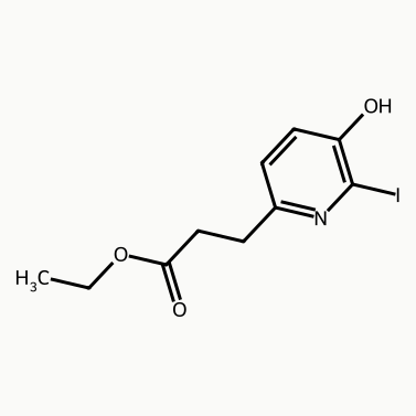 CCOC(=O)CCc1ccc(O)c(I)n1